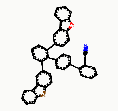 N#Cc1ccccc1-c1ccc(-c2c(-c3ccc4oc5ccccc5c4c3)cccc2-c2ccc3sc4ccccc4c3c2)cc1